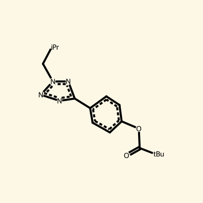 CC(C)Cn1nnc(-c2ccc(OC(=O)C(C)(C)C)cc2)n1